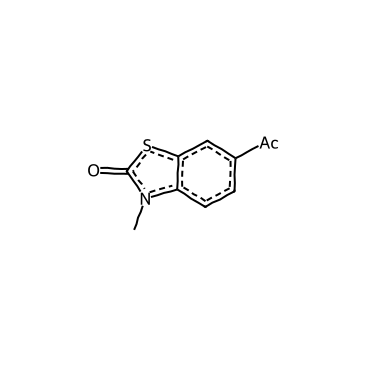 CC(=O)c1ccc2c(c1)sc(=O)n2C